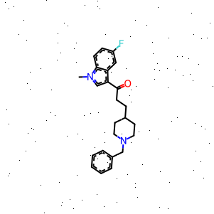 Cn1cc(C(=O)CCC2CCN(Cc3ccccc3)CC2)c2cc(F)ccc21